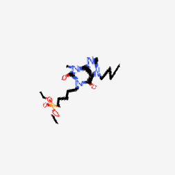 CCCCn1cnc2c1c(=O)n(CCCCCP(=O)(OCC)OCC)c(=O)n2C